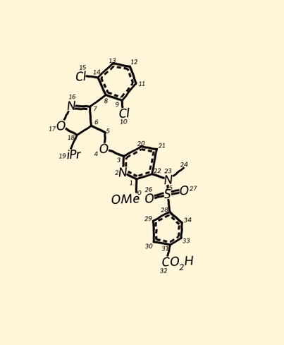 COc1nc(OCC2C(c3c(Cl)cccc3Cl)=NOC2C(C)C)ccc1N(C)S(=O)(=O)c1ccc(C(=O)O)cc1